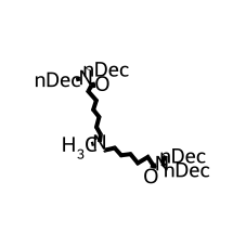 CCCCCCCCCCN(CCCCCCCCCC)C(=O)CCCCCCN(C)CCCCCCC(=O)N(CCCCCCCCCC)CCCCCCCCCC